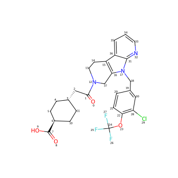 O=C(C[C@H]1CC[C@H](C(=O)O)CC1)N1CCc2c(n(Cc3ccc(OC(F)(F)F)c(Cl)c3)c3ncccc23)C1